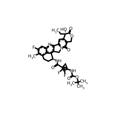 CC[C@@]1(O)C(=O)OCc2c1cc1n(c2=O)Cc2c-1nc1cc(F)c(C)c3c1c2[C@@H](NC(=O)C12CC(NC(=O)OC(C)(C)C)(C1)C2(F)F)CC3